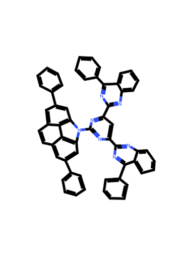 c1ccc(-c2cc3ccc4cc(-c5ccccc5)cc5c4c3c(c2)n5-c2nc(-c3nc(-c4ccccc4)c4ccccc4n3)cc(-c3nc(-c4ccccc4)c4ccccc4n3)n2)cc1